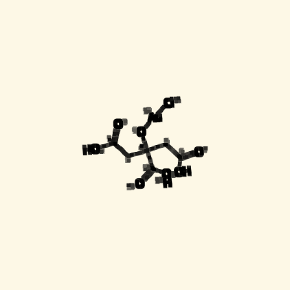 O=C(O)CC(CC(=O)O)([O][Au][Cl])C(=O)O